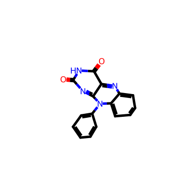 O=c1nc2n(-c3ccccc3)c3ccccc3nc-2c(=O)[nH]1